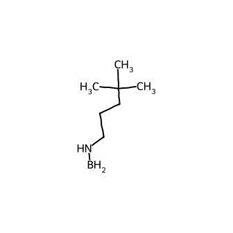 BNCCCC(C)(C)C